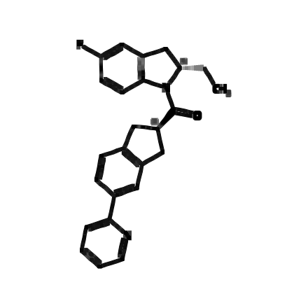 CC[C@H]1Cc2cc(F)ccc2N1C(=O)[C@@H]1Cc2ccc(-c3ccccn3)cc2C1